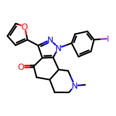 CN1CCC2CC(=O)c3c(-c4ccco4)nn(-c4ccc(I)cc4)c3C2C1